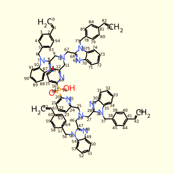 C=Cc1ccc(Cn2c(CN(Cc3cccc(P(=O)(O)c4cccc(CN(Cc5nc6ccccc6n5Cc5ccc(C=C)cc5)Cc5nc6ccccc6n5Cc5ccc(C=C)cc5)n4)n3)Cc3nc4ccccc4n3Cc3ccc(C=C)cc3)nc3ccccc32)cc1